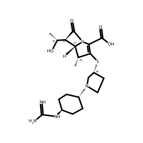 C[C@@H](O)[C@H]1C(=O)N2C(C(=O)O)=C(S[C@@H]3CCN([C@H]4CC[C@H](NC(=N)N)CC4)C3)[C@H](C)[C@H]12